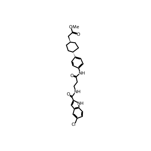 COC(=O)C[C@H]1CC[C@H](c2ccc(NC(=O)CCNC(=O)c3cc4cc(Cl)ccc4[nH]3)cc2)CC1